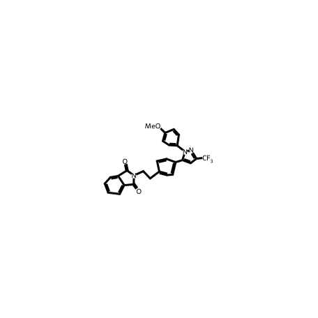 COc1ccc(-n2nc(C(F)(F)F)cc2-c2ccc(CCN3C(=O)c4ccccc4C3=O)cc2)cc1